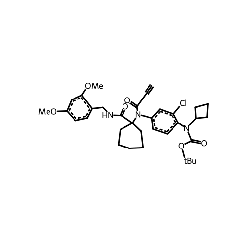 C#CC(=O)N(c1ccc(N(C(=O)OC(C)(C)C)C2CCC2)c(Cl)c1)C1(C(=O)NCc2ccc(OC)cc2OC)CCCCC1